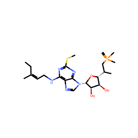 C=P(C)(C)CC(C)[C@H]1O[C@@H](n2cnc3c(NC/C=C(/C)CC)nc(SC)nc32)[C@H](O)[C@@H]1O